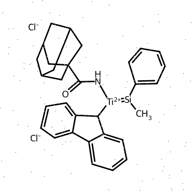 C/[Si](c1ccccc1)=[Ti+2](/[NH]C(=O)C12CC3CC(CC(C3)C1)C2)[CH]1c2ccccc2-c2ccccc21.[Cl-].[Cl-]